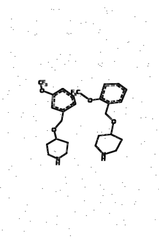 FC(F)(F)Oc1cccc(COC2CCNCC2)c1.FC(F)(F)Oc1ccccc1COC1CCNCC1